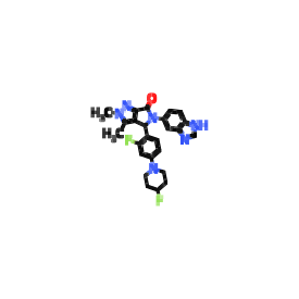 Cc1c2c(nn1C)C(=O)N(c1ccc3[nH]cnc3c1)C2c1ccc(N2CCC(F)CC2)cc1F